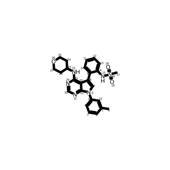 Cc1cccc(-n2cc(-c3ccccc3NS(C)(=O)=O)c3c(NC4CCOCC4)ncnc32)c1